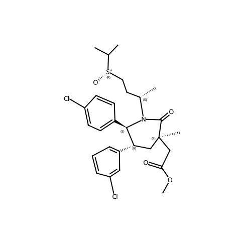 COC(=O)C[C@@]1(C)C[C@H](c2cccc(Cl)c2)[C@@H](c2ccc(Cl)cc2)N([C@@H](C)CC[S@+]([O-])C(C)C)C1=O